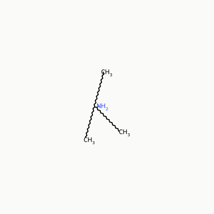 CCCCCCCCCCCCCCCCCC(CCCCCCCCCCCCCCCC)C(N)CCCCCCCCCCCCCCCC